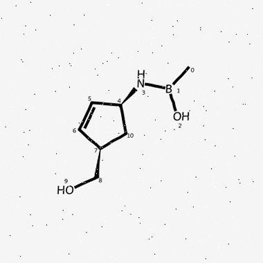 CB(O)N[C@@H]1C=C[C@H](CO)C1